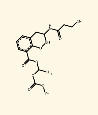 CC(C)OC(=O)OC(C)OC(=O)c1cccc2c1OBC(NC(=O)CCC#N)C2